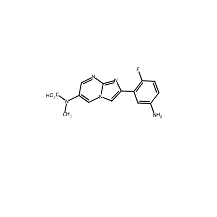 CN(C(=O)O)c1cnc2nc(-c3cc(N)ccc3F)cn2c1